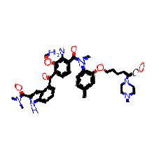 COc1c(C(=O)c2cccc3[nH]c(C(=O)N(C)C)cc23)ccc(C(=O)N(C)c2ccc(C)cc2OCCCCC(=C=O)N2CCN(C)CC2)c1N